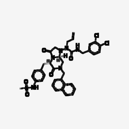 C=CCN(C(=O)NCc1ccc(Cl)c(Cl)c1)N1CC(=O)N2[C@@H](Cc3ccc(NS(C)(=O)=O)cc3)C(=O)N(Cc3cccc4ccccc34)C[C@@H]21